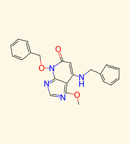 COc1ncnc2c1c(NCc1ccccc1)cc(=O)n2OCc1ccccc1